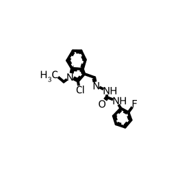 CCn1c(Cl)c(C=NNC(=O)Nc2ccccc2F)c2ccccc21